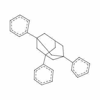 c1ccc(C23CC4CC(c5ccccc5)(C2)CC(c2ccccc2)(C4)C3)cc1